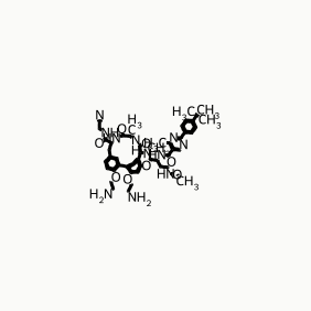 CONCCC(NC(=O)c1cnc(-c2ccc(C(C)(C)C)cc2)nc1C)C(=O)N(C)C1C(=O)NC(C)C(=O)NC(C(=O)NCC#N)Cc2ccc(OCCN)c(c2)-c2cc1ccc2OCCN